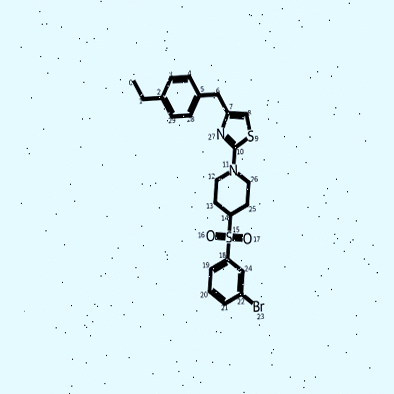 CCc1ccc(Cc2csc(N3CCC(S(=O)(=O)c4cccc(Br)c4)CC3)n2)cc1